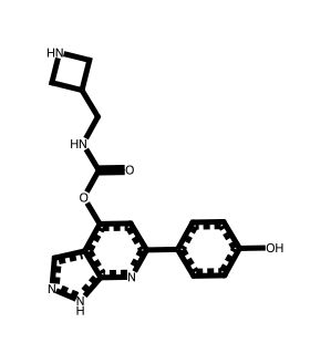 O=C(NCC1CNC1)Oc1cc(-c2ccc(O)cc2)nc2[nH]ncc12